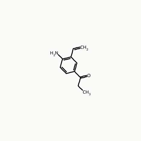 C=Cc1cc(C(=O)CC)ccc1N